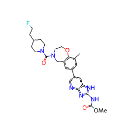 COC(=O)Nc1nc2ncc(-c3cc(C)c4c(c3)CN(C(=O)N3CCC(CCF)CC3)CCO4)cc2[nH]1